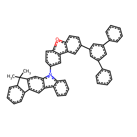 CC1(C)c2ccccc2-c2cc3c4ccccc4n(-c4ccc5oc6ccc(-c7cc(-c8ccccc8)cc(-c8ccccc8)c7)cc6c5c4)c3cc21